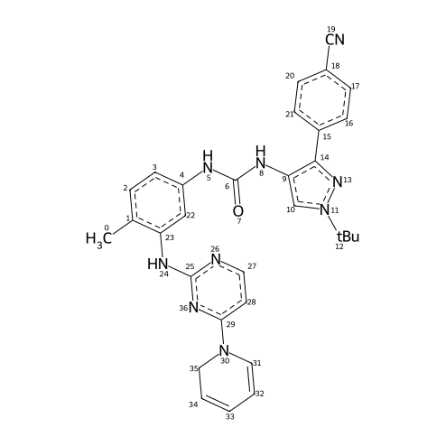 Cc1ccc(NC(=O)Nc2cn(C(C)(C)C)nc2-c2ccc(C#N)cc2)cc1Nc1nccc(N2C=CC=CC2)n1